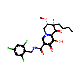 CCCC[C@@]1(C)C(=O)c2c(O)c(=O)c(C(=O)NCc3c(F)cc(F)cc3F)cn2C[C@@H]1OC